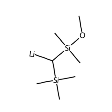 [Li][CH]([Si](C)(C)C)[Si](C)(C)OC